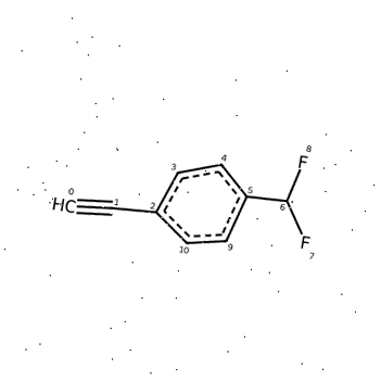 C#Cc1ccc([C](F)F)cc1